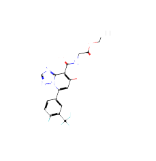 CCOC(=O)CNC(=O)c1c(O)cc(-c2ccc(F)c(C(F)(F)F)c2)n2ncnc12